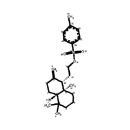 C=C1CC[C@H]2C(C)(C)CCC[C@]2(C)[C@H]1CCOS(=O)(=O)c1ccc(C)cc1